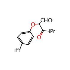 CC(C)C(=O)C([C]=O)Oc1ccc(C(C)C)cc1